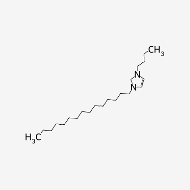 CCCCCCCCCCCCCCCN1C=CN(CCCC)C1